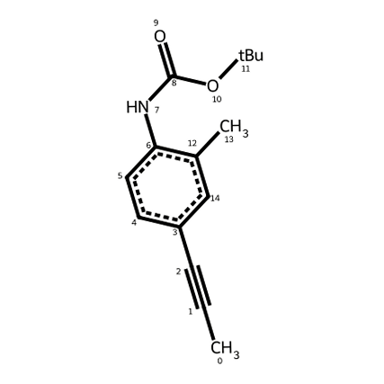 CC#Cc1ccc(NC(=O)OC(C)(C)C)c(C)c1